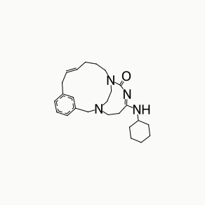 O=C1/N=C(/NC2CCCCC2)CCN2CCN1CCC/C=C/Cc1cccc(c1)C2